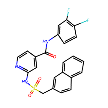 O=C(Nc1ccc(F)c(F)c1)c1ccnc(NS(=O)(=O)Cc2ccc3ccccc3c2)c1